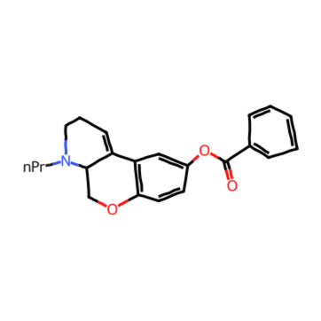 CCCN1CCC=C2c3cc(OC(=O)c4ccccc4)ccc3OCC21